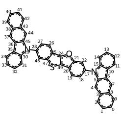 c1ccc2cc3c(cc2c1)c1ccccc1n3-c1ccc2c(c1)oc1c3ccc(-n4c5ccccc5c5cc6ccccc6cc54)cc3sc21